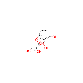 OC[C@H](O)[C@H]1OC23CCCC(O)(CCC2)C(=C1O)C3O